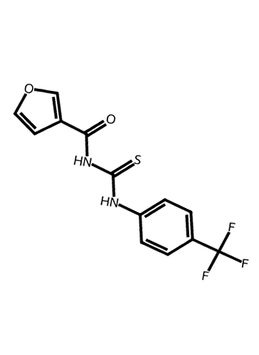 O=C(NC(=S)Nc1ccc(C(F)(F)F)cc1)c1ccoc1